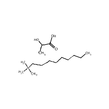 CC(O)C(=O)O.CCCCCCCCC[N+](C)(C)C